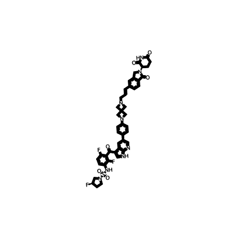 O=C1CC[C@@H](N2Cc3cc(/C=C/CN4CC5(C4)CN(c4ccc(-c6cnc7[nH]cc(C(=O)c8c(F)ccc(NS(=O)(=O)N9CC[C@@H](F)C9)c8F)c7c6)cc4)C5)ccc3C2=O)C(=O)N1